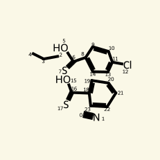 C#N.CCC.OC(=S)c1ccc(Cl)cc1.OC(=S)c1ccccc1